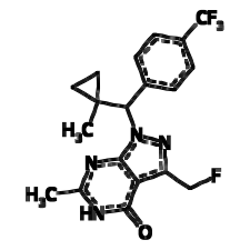 Cc1nc2c(c(CF)nn2C(c2ccc(C(F)(F)F)cc2)C2(C)CC2)c(=O)[nH]1